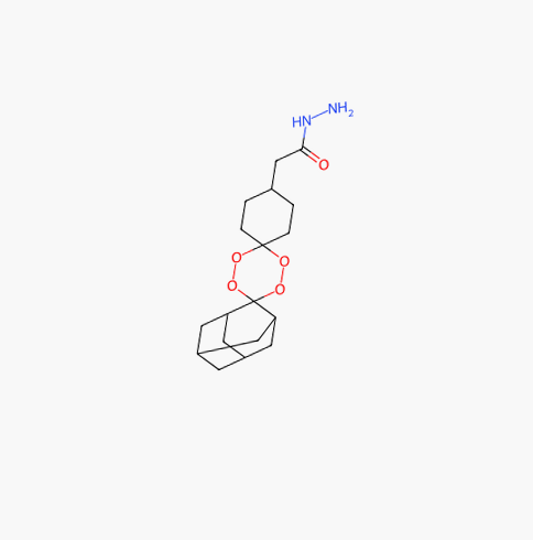 NNC(=O)CC1CCC2(CC1)OOC1(OO2)C2CC3CC(C2)CC1C3